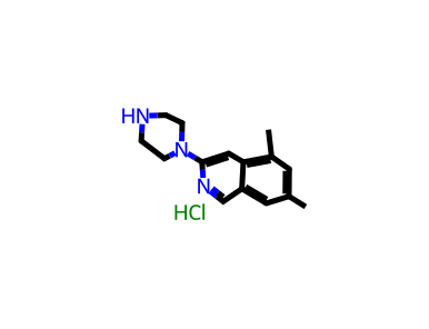 Cc1cc(C)c2cc(N3CCNCC3)ncc2c1.Cl